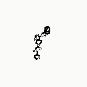 CN(CC(=O)N1CCc2c(ncnc2NCC2C3CC4CC(C3)CC2C4)C1)Cc1cccnc1